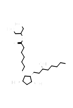 CCCCC[C@H](O)CC[C@@H]1[C@@H](CCCCCCC(=O)OC(CO)CO)[C@@H](O)C[C@H]1O